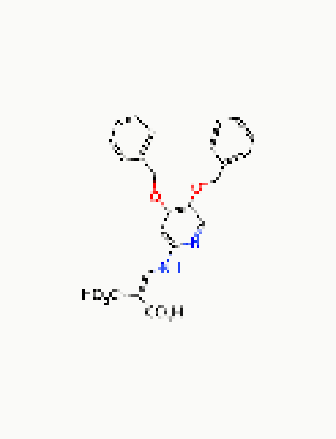 O=C(O)C(=CNc1cc(OCc2ccccc2)c(OCc2ccccc2)cn1)C(=O)O